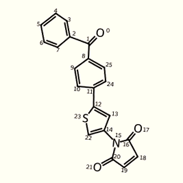 O=C(c1ccccc1)c1ccc(-c2cc(N3C(=O)C=CC3=O)cs2)cc1